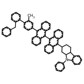 Cc1cc(-c2c3ccccc3c(-c3c4ccccc4c(C4CCC5c6ccccc6N(c6ccccc6)C5C4)c4ccccc34)c3ccccc23)ccc1-c1ccccc1Cc1ccccc1